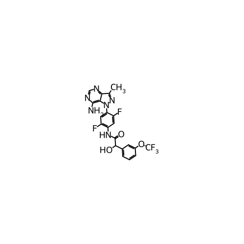 Cc1nn(-c2cc(F)c(NC(=O)C(O)c3cccc(OC(F)(F)F)c3)cc2F)c2c(N)ncnc12